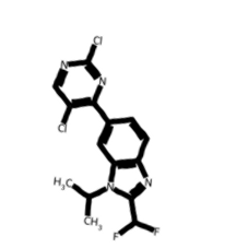 CC(C)n1c(C(F)F)nc2ccc(-c3nc(Cl)ncc3Cl)cc21